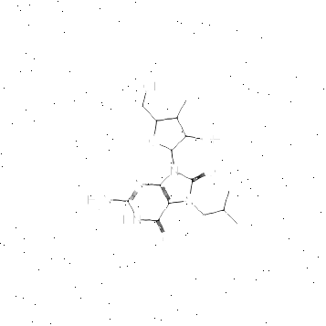 CC(C)Cn1c(=O)n(C2OC(CO)C(C)C2O)c2nc(N)[nH]c(=O)c21